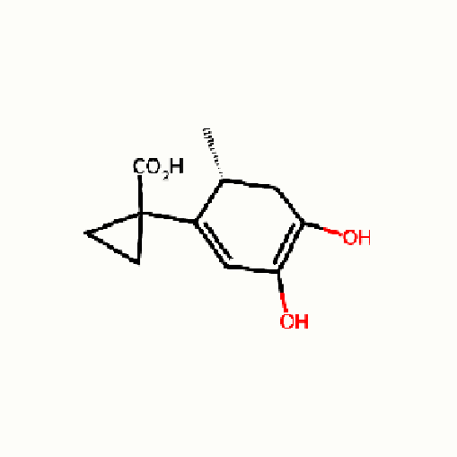 C[C@@H]1CC(O)=C(O)C=C1C1(C(=O)O)CC1